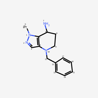 CC(C)n1ncc2c1C(N)CCN2Cc1ccccc1